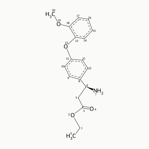 CCOC(=O)C[C@H](N)c1ccc(Oc2ccccc2OC)cc1